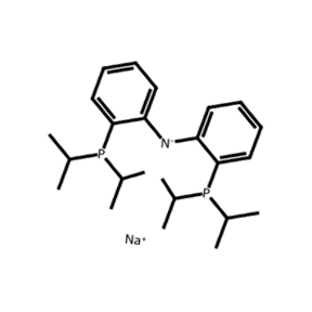 CC(C)P(c1ccccc1[N-]c1ccccc1P(C(C)C)C(C)C)C(C)C.[Na+]